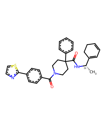 C[C@H](NC(=O)C1(c2ccccc2)CCN(C(=O)c2ccc(-c3nccs3)cc2)CC1)C1=CC=CCC1